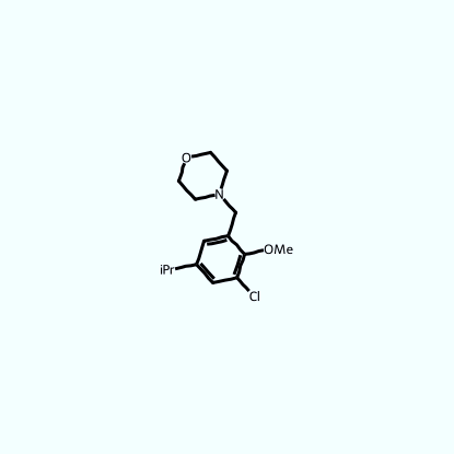 COc1c(Cl)cc(C(C)C)cc1CN1CCOCC1